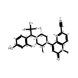 C[C@@H]1CN(c2cc(=O)n(C)c3ccc(C#N)nc23)[C@@H](C)CN1C(c1ccc(O)cc1F)C(F)(F)F